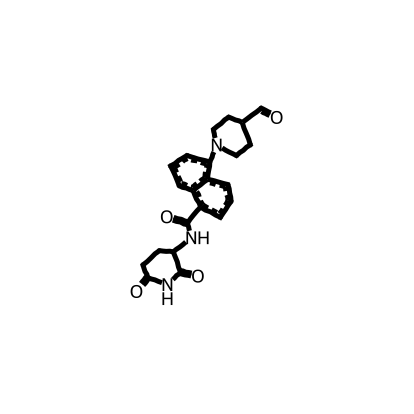 O=CC1CCN(c2cccc3c(C(=O)NC4CCC(=O)NC4=O)cccc23)CC1